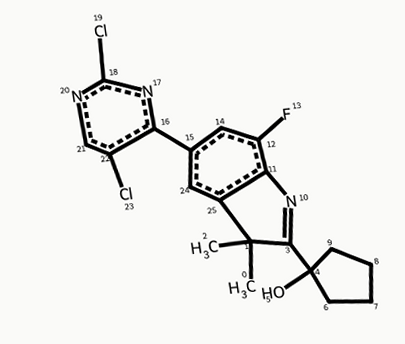 CC1(C)C(C2(O)CCCC2)=Nc2c(F)cc(-c3nc(Cl)ncc3Cl)cc21